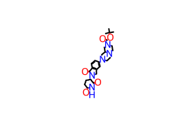 CC(C)(C)OC(=O)N1CCN2CCN(c3ccc4c(c3)CN(C3CCC(=O)NC3=O)C4=O)CC2C1